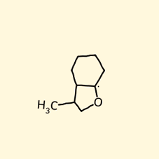 CC1CO[C]2CCCCC21